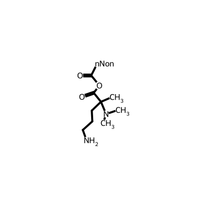 CCCCCCCCCC(=O)OC(=O)C(C)(CCCN)N(C)C